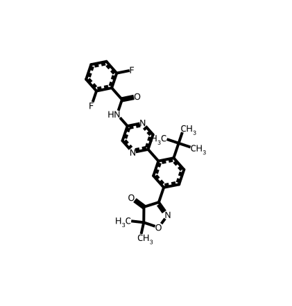 CC1(C)ON=C(c2ccc(C(C)(C)C)c(-c3cnc(NC(=O)c4c(F)cccc4F)cn3)c2)C1=O